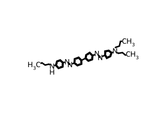 CCCCNc1ccc(N=Nc2ccc(-c3ccc(N=Nc4ccc(N(CCCC)CCCC)cc4)cc3)cc2)cc1